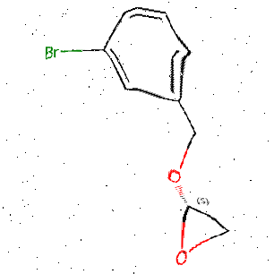 Brc1cccc(CO[C@@H]2CO2)c1